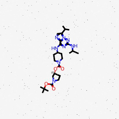 CC(C)Nc1nc(NC2CCN(C(=O)O[C@H]3CCN(C(=O)OC(C)(C)C)C3)CC2)c2ncc(C(C)C)n2n1